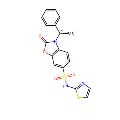 C[C@H](c1ccccc1)n1c(=O)oc2cc(S(=O)(=O)Nc3nccs3)ccc21